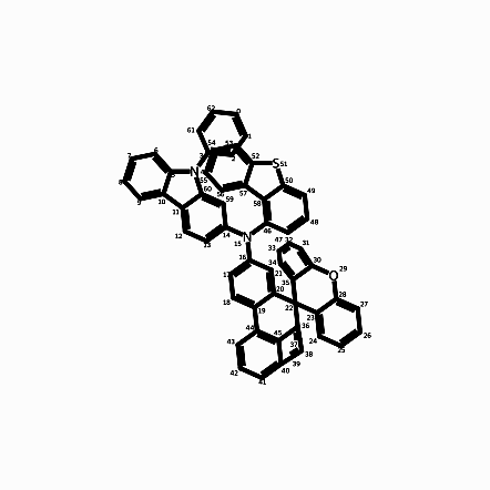 c1ccc(-n2c3ccccc3c3ccc(N(c4ccc5c(c4)C4(c6ccccc6Oc6ccccc64)c4cccc6cccc-5c46)c4cccc5sc6ccccc6c45)cc32)cc1